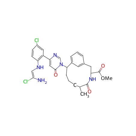 COC(=O)C1Cc2cccc(c2)C(n2cnc(-c3cc(Cl)ccc3N/C=C(\N)Cl)cc2=O)CCCC(C)C(=O)N1